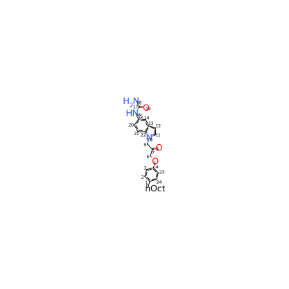 CCCCCCCCc1ccc(OCC(=O)Cn2ccc3cc(NC(N)=O)ccc32)cc1